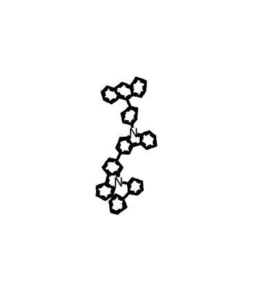 c1ccc(-c2ccccc2-n2c3ccccc3c3ccc(-c4ccc5c(c4)c4ccccc4n5-c4ccc(-c5c6ccccc6cc6ccccc56)cc4)cc32)cc1